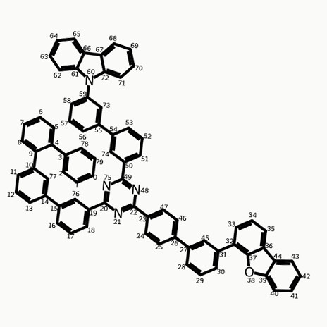 c1ccc(-c2ccccc2-c2cccc(-c3cccc(-c4nc(-c5ccc(-c6cccc(-c7cccc8c7oc7ccccc78)c6)cc5)nc(-c5cccc(-c6cccc(-n7c8ccccc8c8ccccc87)c6)c5)n4)c3)c2)cc1